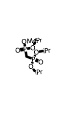 COP(=O)(CP(=O)(OC(C)C)OC(C)C)OC(C)C